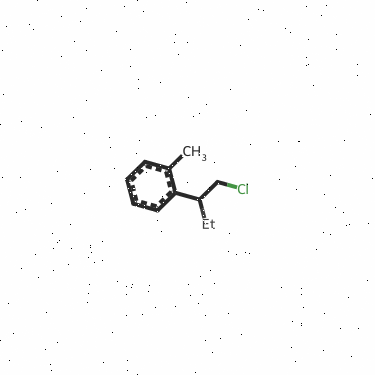 CCC(CCl)c1ccccc1C